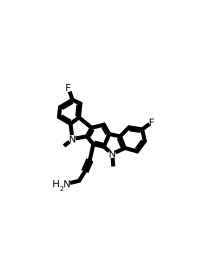 Cn1c2ccc(F)cc2c2cc3c4cc(F)ccc4n(C)c3c(C#CCN)c21